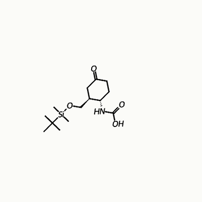 CC(C)(C)[Si](C)(C)OC[C@H]1CC(=O)CC[C@@H]1NC(=O)O